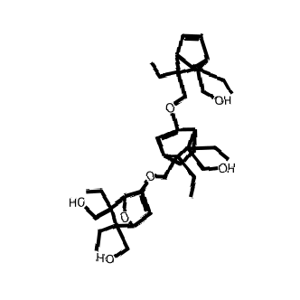 CCC1(CO)C2C=CC(C2)C1(CC)COC1=CC2CCC1C(CC)(CO)C2(CC)COC1=CC2OC1C(CC)(CO)C2(CC)CO